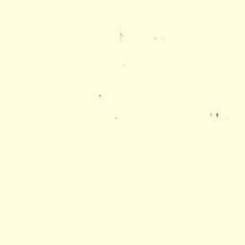 COc1ccc(S(=O)(=O)Nc2ccccc2CN(C)C/C=C/c2ccc(Cl)cc2)cc1